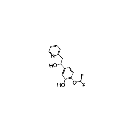 Oc1cc(C(O)Cc2ccccn2)ccc1OC(F)F